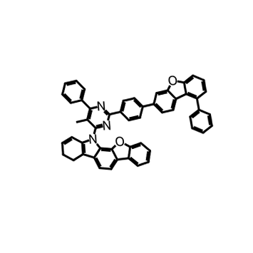 Cc1c(-c2ccccc2)nc(-c2ccc(-c3ccc4c(c3)oc3cccc(-c5ccccc5)c34)cc2)nc1-n1c2c(c3ccc4c5ccccc5oc4c31)CCC=C2